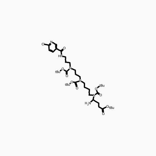 CC(C)(C)OC(=O)CCC(N)N(CCCCN(CCCN(CCCNC(=O)c1ccc(Cl)nc1)C(=O)OC(C)(C)C)C(=O)OC(C)(C)C)C(=O)OC(C)(C)C